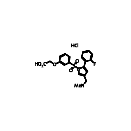 CNCc1cc(-c2ccccc2F)n(S(=O)(=O)c2cccc(OCC(=O)O)c2)c1.Cl